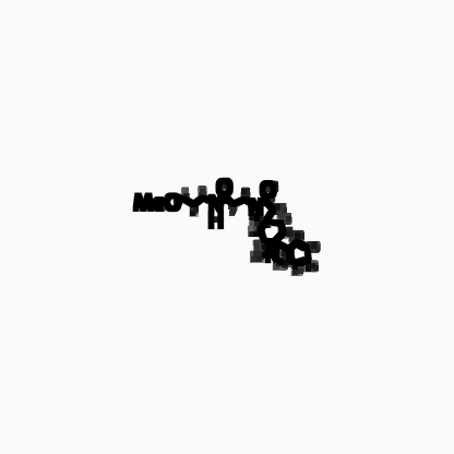 COCCCNC(=O)CCN1C[C@]2(CC[C@](c3ccccc3)(N(C)C)CC2)CC1=O